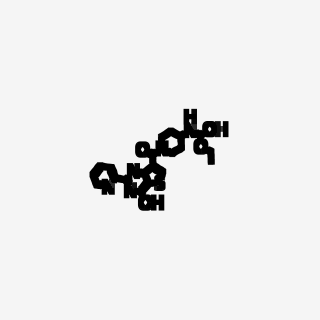 CCOC(O)NC1CCN(C(=O)c2csc3c(O)nc(-c4ccccn4)nc23)CC1